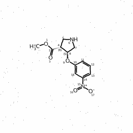 COC(=O)[C@@H]1CNC[C@H]1Oc1cccc([N+](=O)[O-])c1